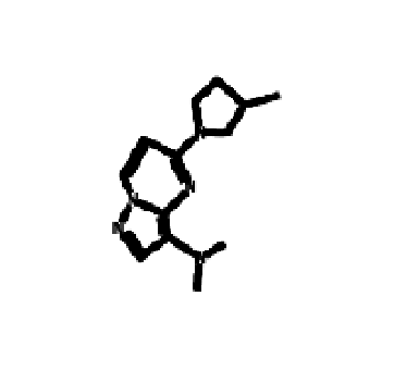 CC1CCN(c2ccn3ncc(N(C)C)c3n2)C1